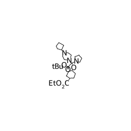 CCOC(=O)C1CCC(OC(C(=O)OC(C)(C)C)(N2CCCC2)N2CCN(C3CCCC3)CC2)CC1